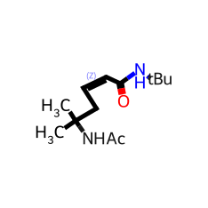 CC(=O)NC(C)(C)C/C=C\C(=O)NC(C)(C)C